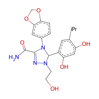 CC(C)c1cc(C2N(CCO)N=C(C(N)=O)N2c2ccc3c(c2)OCO3)c(O)cc1O